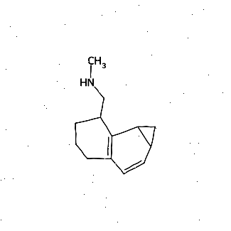 CNCC1CCCC2=C1C1CC1C=C2